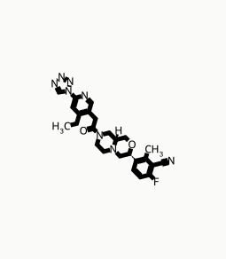 CCc1cc(-n2cnnn2)ncc1CC(=O)N1CCN2C[C@@H](c3ccc(F)c(C#N)c3C)OC[C@H]2C1